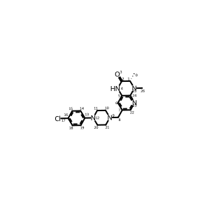 C[C@H]1C(=O)Nc2cc(CN3CCN(c4ccc(Cl)cc4)CC3)cnc2N1C